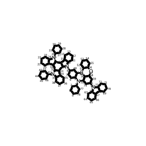 c1ccc(N2c3ccc(-n4c5ccccc5c5c6c(c7ccccc7n6-c6ccccc6)c6c(c7ccccc7n6-c6ccccc6)c54)cc3B3c4ccccc4Oc4cc(-n5c6ccccc6c6ccccc65)cc2c43)cc1